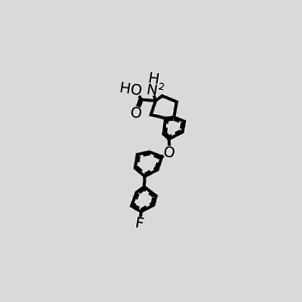 NC1(C(=O)O)CCc2ccc(Oc3cccc(-c4ccc(F)cc4)c3)cc2C1